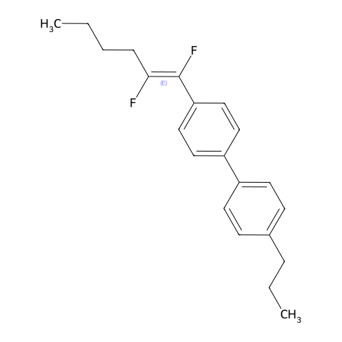 CCCC/C(F)=C(\F)c1ccc(-c2ccc(CCC)cc2)cc1